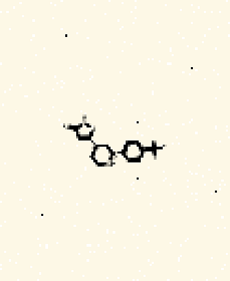 O=c1cc([C@@H]2CCN[C@H](c3ccc(C(F)(F)F)cc3)C2)o[nH]1